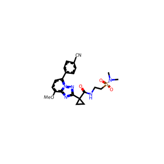 COc1ccc(-c2ccc(C#N)cc2)n2nc(C3(C(=O)NCCS(=O)(=O)N(C)C)CC3)nc12